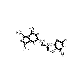 Cc1nn(C)c2nc(NN/C(=C/C#N)Nc3cc(Cl)nc(Cl)c3)cc(C(C)C)c12